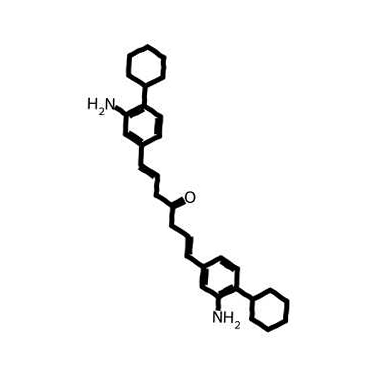 Nc1cc(C=CCC(=O)CC=Cc2ccc(C3CCCCC3)c(N)c2)ccc1C1CCCCC1